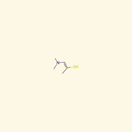 C/C(S)=C\N(C)C